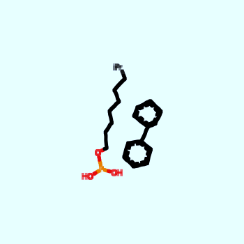 CC(C)CCCCCCCOP(O)O.c1ccc(-c2ccccc2)cc1